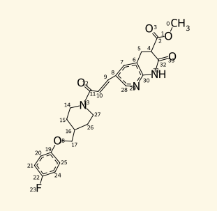 COC(=O)C1Cc2cc(/C=C/C(=O)N3CCC(COc4ccc(F)cc4)CC3)cnc2NC1=O